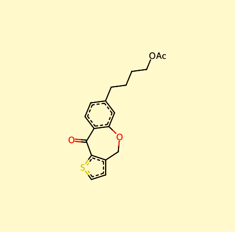 CC(=O)OCCCCc1ccc2c(c1)OCc1ccsc1C2=O